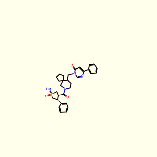 N=S1(=O)C[C@@H](C(=O)N2CCC(Cn3cnc(-c4ccccc4)cc3=O)C3(CCCC3)C2)[C@H](c2ccccc2)C1